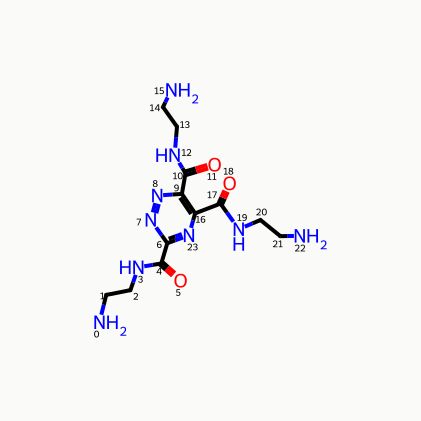 NCCNC(=O)c1nnc(C(=O)NCCN)c(C(=O)NCCN)n1